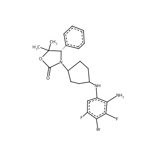 CC1(C)OC(=O)N(C2CCC(Nc3cc(F)c(Br)c(F)c3N)CC2)[C@H]1c1ccccc1